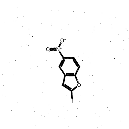 O=[N+]([O-])c1ccc2oc(I)cc2c1